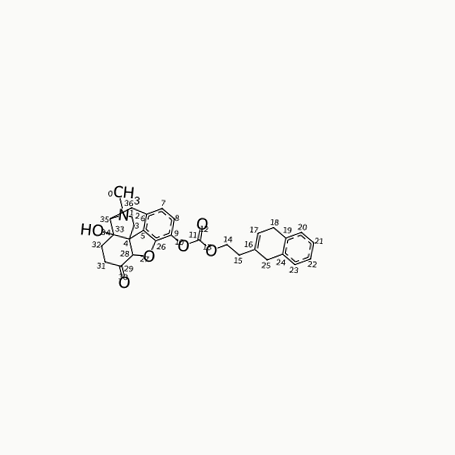 CN1CCC23c4c5ccc(OC(=O)OCCC6=CCc7ccccc7C6)c4OC2C(=O)CCC3(O)C1C5